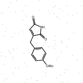 COc1ccc(CC2=CC(=O)NC2=O)cc1